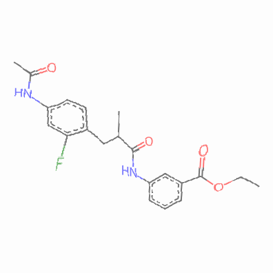 CCOC(=O)c1cccc(NC(=O)C(C)Cc2ccc(NC(C)=O)cc2F)c1